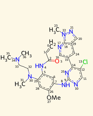 C=CC(=O)Nc1cc(Nc2ncc(Cl)c(-c3cnc4c(cnn4C)c3)n2)c(OC)cc1N(C)CCN(C)C